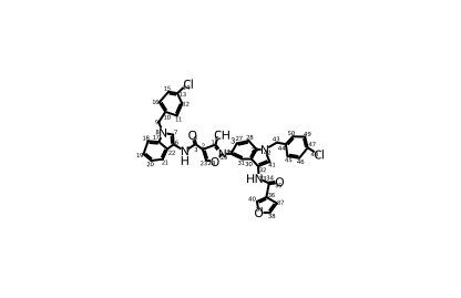 Cc1c(C(=O)Nc2cn(Cc3ccc(Cl)cc3)c3ccccc23)co[n+]1-c1ccc2c(c1)c(NC(=O)c1ccoc1)cn2Cc1ccc(Cl)cc1